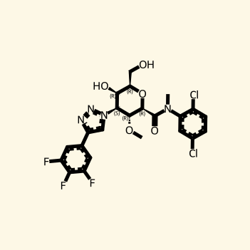 CO[C@@H]1[C@@H](n2cc(-c3cc(F)c(F)c(F)c3)nn2)[C@@H](O)[C@@H](CO)O[C@H]1C(=O)N(C)c1cc(Cl)ccc1Cl